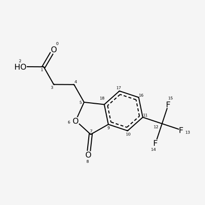 O=C(O)CCC1OC(=O)c2cc(C(F)(F)F)ccc21